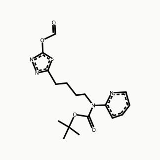 CC(C)(C)OC(=O)N(CCCCc1nnc(OC=O)s1)c1ccccn1